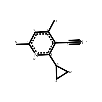 Cc1cc(C)c(C#N)c(C2CC2)n1